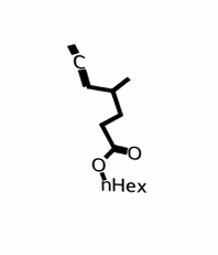 C=C=CC(C)CCC(=O)OCCCCCC